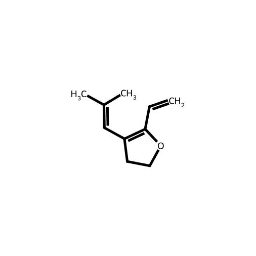 C=CC1=C(C=C(C)C)CCO1